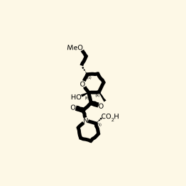 COCC[C@@H]1CC[C@@H](C)[C@](O)(C(=O)C(=O)N2CCCC[C@H]2C(=O)O)O1